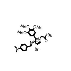 COc1cc(-c2n(CC(=O)C(C)(C)C)cc[n+]2N=Cc2ccc(N(C)C)cc2)cc(OC)c1OC.[Br-]